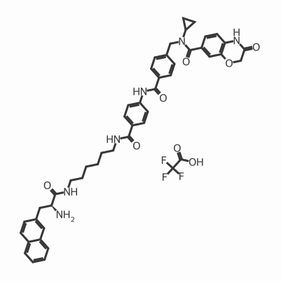 N[C@@H](Cc1ccc2ccccc2c1)C(=O)NCCCCCCNC(=O)c1ccc(NC(=O)c2ccc(CN(C(=O)c3ccc4c(c3)OCC(=O)N4)C3CC3)cc2)cc1.O=C(O)C(F)(F)F